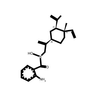 C=C[C@]1(C)CC[C@@H](C(=C)CN(O)C(=O)c2ccccc2N)C[C@H]1C(=C)C